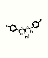 O=C(OB(O)c1ccc(F)cc1)OB(O)c1ccc(F)cc1.[KH].[KH]